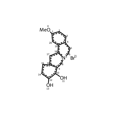 COc1ccc2cc[n+]3cc4c(O)c(O)ccc4cc3c2c1.[Br-]